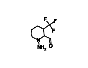 NN1CCCC(C(F)(F)F)C1C=O